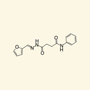 O=C(CCC(=O)Nc1ccccc1)N/N=C/c1ccco1